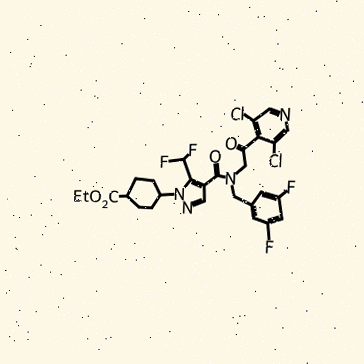 CCOC(=O)C1CCC(n2ncc(C(=O)N(CC(=O)c3c(Cl)cncc3Cl)Cc3cc(F)cc(F)c3)c2C(F)F)CC1